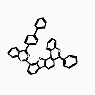 c1ccc(-c2ccc(-c3nc(-c4cccc5c4sc4c5ccc5c(-c6ccccc6)nc6ccccc6c54)nc4ccccc34)cc2)cc1